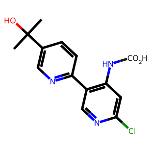 CC(C)(O)c1ccc(-c2cnc(Cl)cc2NC(=O)O)nc1